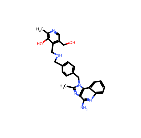 Cc1ncc(CO)c(CNCc2ccc(Cn3c(C)nc4c(N)nc5ccccc5c43)cc2)c1O